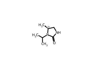 CC(C)N1C(=O)NC[C@@H]1C